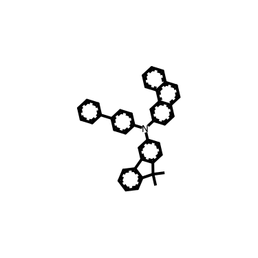 CC1(C)c2ccccc2-c2cc(N(c3ccc(-c4ccccc4)cc3)c3ccc4ccc5ccccc5c4c3)ccc21